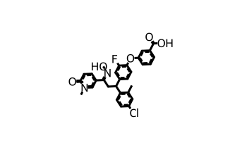 Cc1cc(Cl)ccc1C(CC(=NO)c1ccc(=O)n(C)c1)c1ccc(Oc2cccc(C(=O)O)c2)c(F)c1